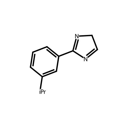 CC(C)c1cccc(C2=NCC=N2)c1